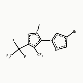 Cn1cc(C(F)(F)C(F)(F)F)c(C(F)(F)F)c1-n1cc(Br)cn1